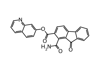 NC(=O)c1c(C(=O)Oc2ccc3cccnc3c2)ccc2c1C(=O)c1ccccc1-2